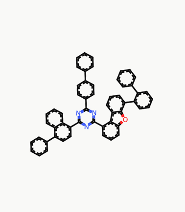 c1ccc(-c2ccc(-c3nc(-c4ccc(-c5ccccc5)c5ccccc45)nc(-c4cccc5oc6c(-c7ccccc7-c7ccccc7)cccc6c45)n3)cc2)cc1